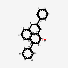 C1=C(c2ccccc2)Cc2cccc3c(-c4ccccc4)ccc1c23.O